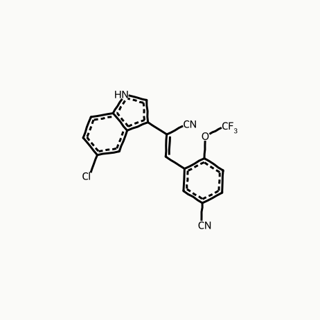 N#CC(=Cc1cc(C#N)ccc1OC(F)(F)F)c1c[nH]c2ccc(Cl)cc12